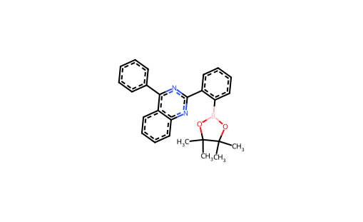 CC1(C)OB(c2ccccc2-c2nc(-c3ccccc3)c3ccccc3n2)OC1(C)C